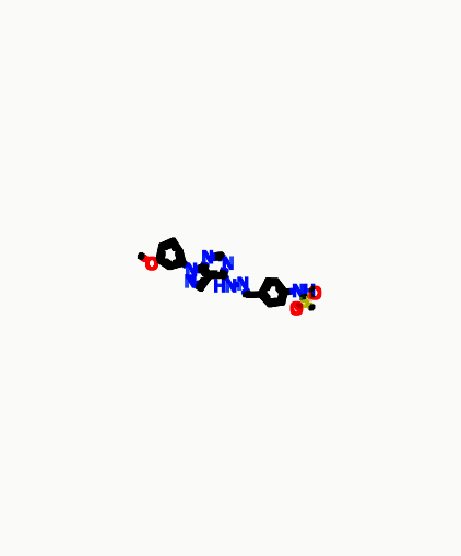 COc1cccc(-n2ncc3c(N/N=C/c4ccc(NS(C)(=O)=O)cc4)ncnc32)c1